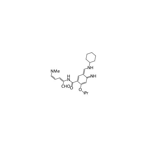 CN/C=C\C=C(/C=O)NC(=O)C1=C/C(=C/NC2CCCCC2)C(=N)C=C1OC(C)C